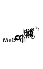 CCCc1cc(=O)n2nc(NCc3ccc(OC)cc3Cl)nc2[nH]1